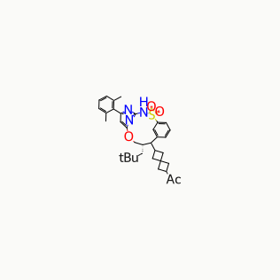 CC(=O)C1CC2(C1)CC(C1c3cccc(c3)S(=O)(=O)Nc3nc(cc(-c4c(C)cccc4C)n3)OC[C@H]1CC(C)(C)C)C2